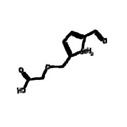 O=CC1=CC=C(COCC(=O)O)[SeH2]1